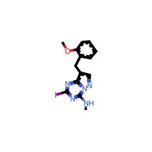 CNc1nc(I)nc2c(Cc3ccccc3OC)cnn12